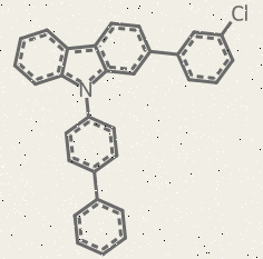 Clc1cccc(-c2ccc3c4ccccc4n(-c4ccc(-c5ccccc5)cc4)c3c2)c1